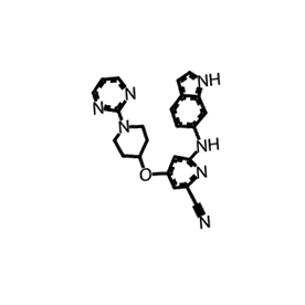 N#Cc1cc(OC2CCN(c3ncccn3)CC2)cc(Nc2ccc3cc[nH]c3c2)n1